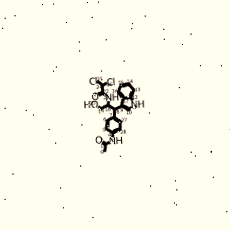 CC(=O)Nc1ccc(C(c2c[nH]c3ccccc23)C(CO)NC(=O)C(Cl)Cl)cc1